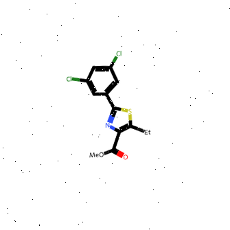 CCc1sc(-c2cc(Cl)cc(Cl)c2)nc1C(=O)OC